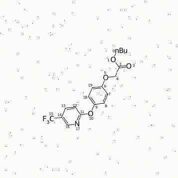 CCCCOC(=O)COc1ccc(Oc2ccc(C(F)(F)F)cn2)cc1